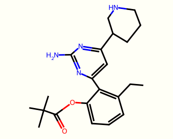 CCc1cccc(OC(=O)C(C)(C)C)c1-c1cc(C2CCCNC2)nc(N)n1